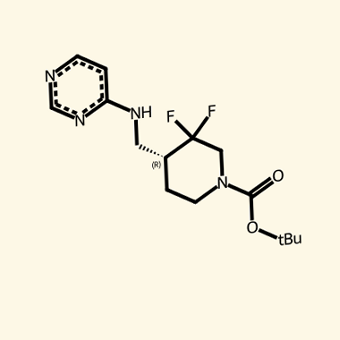 CC(C)(C)OC(=O)N1CC[C@H](CNc2ccncn2)C(F)(F)C1